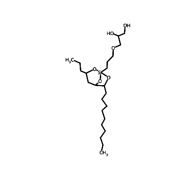 CCCCCCCCCCC1O[Si]2(CCCOCC(O)CO)OC(CCC)CC1O2